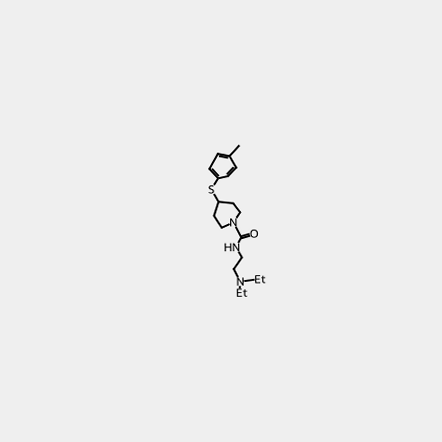 CCN(CC)CCNC(=O)N1CCC(Sc2ccc(C)cc2)CC1